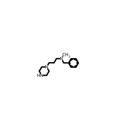 CN(CCCN1CCNCC1)Cc1ccccc1